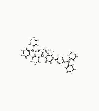 CC1(C)c2cc(-c3ccc(N(c4ccccc4)c4ccccc4)cc3)ccc2-c2c1cc(N(c1ccccc1)c1ccccc1)c1ccccc21